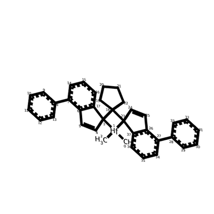 [CH3][Hf]1([CH3])[C]2(C=Cc3c(-c4ccccc4)cccc32)C2(CCCC2)[C]12C=Cc1c(-c3ccccc3)cccc12